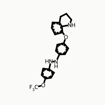 FC(F)(F)Oc1ccc(NNc2ccc(Oc3cccc4c3NCCC4)cc2)cc1